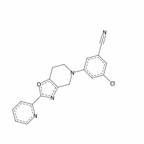 N#Cc1cc(Cl)cc(N2CCc3oc(-c4ccccn4)nc3C2)c1